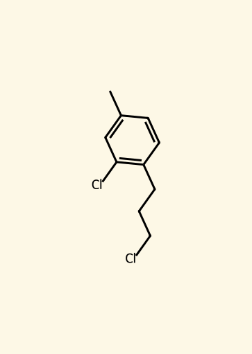 Cc1ccc(CCCCl)c(Cl)c1